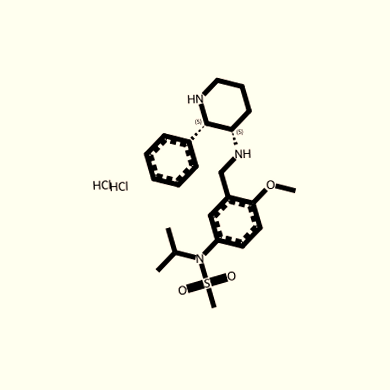 COc1ccc(N(C(C)C)S(C)(=O)=O)cc1CN[C@H]1CCCN[C@H]1c1ccccc1.Cl.Cl